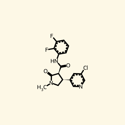 CN1C[C@@H](c2cncc(Cl)c2)[C@H](C(=O)Nc2cccc(F)c2F)C1=O